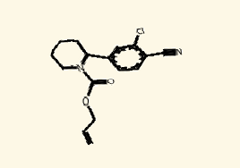 C=CCOC(=O)N1CCCCC1c1ccc(C#N)c(Cl)c1